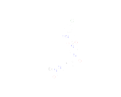 CCn1nc(-c2ccc(C(=O)N3CCN(S(=O)(=O)c4cc5cc(Cl)ccc5[nH]4)CC3)cc2)ccc1=O